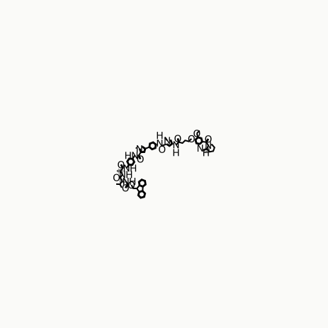 COc1cc2c(cc1OCCCC(=O)Nc1cc(C(=O)Nc3ccc(-c4cc(C(=O)Nc5ccc(NC(=O)[C@H](C)NC(=O)[C@@H](NC(=O)OCC6c7ccccc7-c7ccccc76)C(C)C)cc5)n(C)c4)cc3)n(C)c1)N=C[C@@H]1CCCCN1C2=O